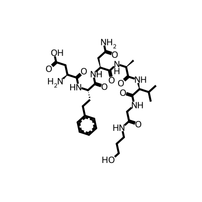 CC(C)[C@H](NC(=O)[C@H](C)NC(=O)[C@H](CC(N)=O)NC(=O)[C@H](CCc1ccccc1)NC(=O)[C@@H](N)CC(=O)O)C(=O)NCC(=O)NCCCO